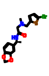 C[C@@H](NC(=O)CN(C)Cc1ccc(Br)s1)c1ccc2c(c1)OCO2